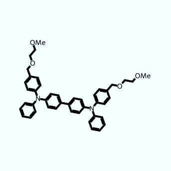 COCCOCc1ccc(N(c2ccccc2)c2ccc(-c3ccc(N(c4ccccc4)c4ccc(COCCOC)cc4)cc3)cc2)cc1